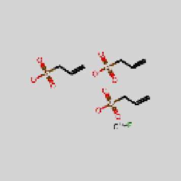 C=CCS(=O)(=O)[O-].C=CCS(=O)(=O)[O-].C=CCS(=O)(=O)[O-].[C+3]F